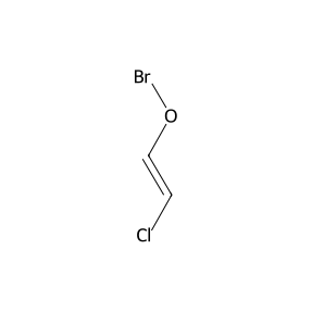 ClC=COBr